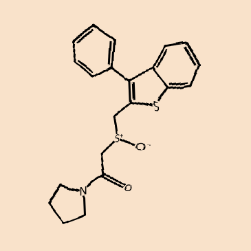 O=C(C[S+]([O-])Cc1sc2ccccc2c1-c1ccccc1)N1CCCC1